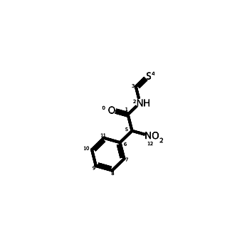 O=C(NC=S)C(c1ccccc1)[N+](=O)[O-]